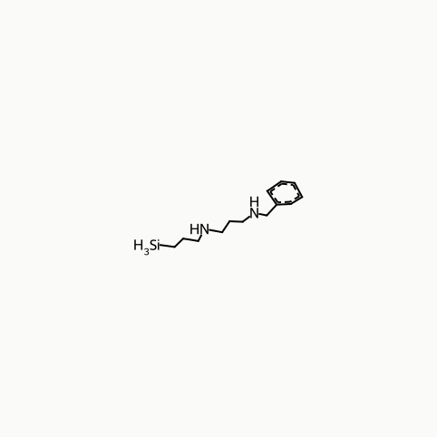 [SiH3]CCCNCCCNCc1ccccc1